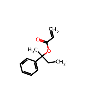 [CH2]CC(C)(OC(=O)C=C)c1ccccc1